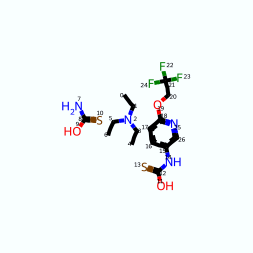 CCN(CC)CC.NC(O)=S.OC(=S)Nc1ccc(OCC(F)(F)F)nc1